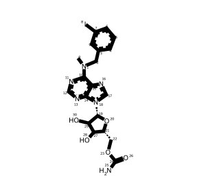 CN(Cc1cccc(I)c1)c1ncnc2c1ncn2[C@@H]1O[C@H](COC(N)=O)C(O)C1O